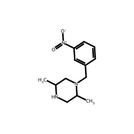 CC1CN(Cc2cccc([N+](=O)[O-])c2)C(C)CN1